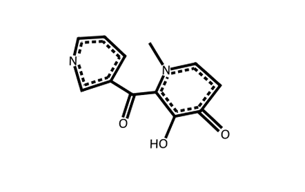 Cn1ccc(=O)c(O)c1C(=O)c1cccnc1